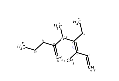 C=C/C(C)=C(\CC)N(C)C(=C)CCC